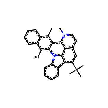 Cc1c2ccccc2c(C(C)(C)C)c2c1c1c3c(cc[n+]1C)cc([Si](C)(C)C)c1c4ccccc4n2c13